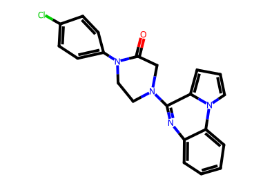 O=C1CN(c2nc3ccccc3n3cccc23)CCN1c1ccc(Cl)cc1